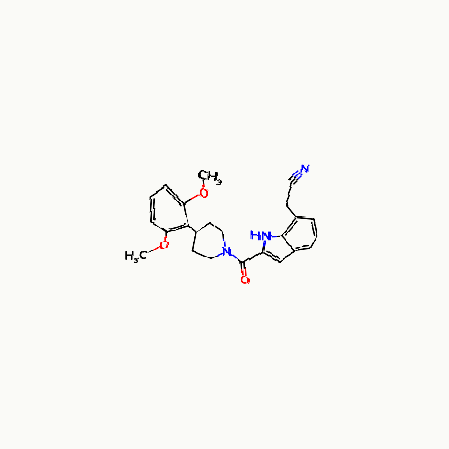 COc1cccc(OC)c1C1CCN(C(=O)c2cc3cccc(CC#N)c3[nH]2)CC1